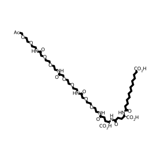 CC(=O)COCCOCCNC(=O)COCCOCCNC(=O)COCCOCCNC(=O)COCCOCCNC(=O)CC[C@H](NC(=O)CC[C@H](NC(=O)CCCCCCCCCCCCC(=O)O)C(=O)O)C(=O)O